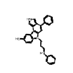 Oc1ccc2c(c1)c1c3c[nH]cc3c(-c3ccccc3)cc1n2CCCNc1ccccc1